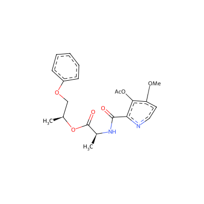 COc1ccnc(C(=O)N[C@@H](C)C(=O)O[C@@H](C)COc2ccccc2)c1OC(C)=O